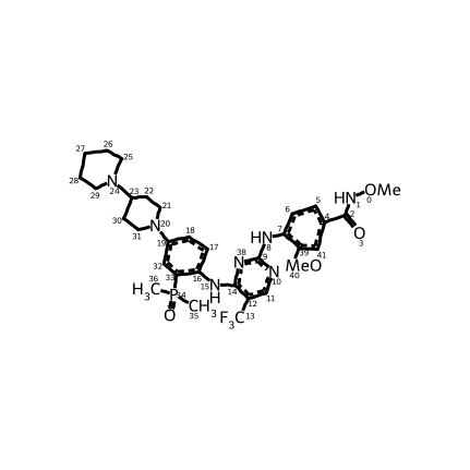 CONC(=O)c1ccc(Nc2ncc(C(F)(F)F)c(Nc3ccc(N4CCC(N5CCCCC5)CC4)cc3P(C)(C)=O)n2)c(OC)c1